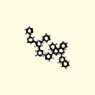 c1ccc(-c2cccc(-c3cc(-c4cccc(-c5cccc(-c6cc7c(-c8ccc9ccccc9c8)nc8ccccc8c7c7ccccc67)c5)c4)nc(-c4ccccc4)n3)c2)cc1